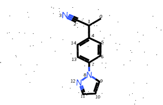 CC(C#N)c1ccc(-n2cccn2)cc1